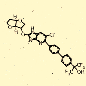 OC(c1ccc(-c2ccc(-c3nc4nc(O[C@@H]5CO[C@@H]6CCO[C@@H]65)[nH]c4cc3Cl)cc2)cc1)(C(F)(F)F)C(F)(F)F